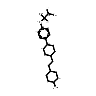 CCC1CCC(CCC2CCC(c3ccc(OC(F)(F)C(F)F)cc3)CC2)CC1